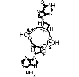 Nc1ncnc2c1ncn2[C@@H]1O[C@@H]2COP(O)(=S)OC[C@@H]3[C@@H](COP(O)(=S)O[C@H]2[C@H]1F)C[C@H]3n1cnc2c(=O)[nH]cnc21